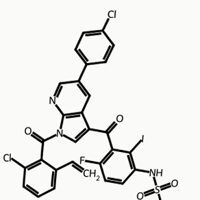 C=Cc1cccc(Cl)c1C(=O)n1cc(C(=O)c2c(F)ccc(NS(=O)(=O)CCC)c2I)c2cc(-c3ccc(Cl)cc3)cnc21